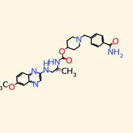 COc1ccc2nc(NC[C@@H](C)NC(=O)OC3CCN(Cc4ccc(C(N)=O)cc4)CC3)cnc2c1